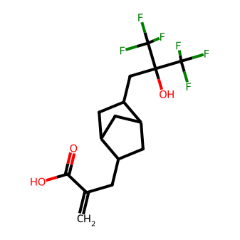 C=C(CC1CC2CC1CC2CC(O)(C(F)(F)F)C(F)(F)F)C(=O)O